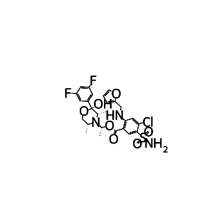 C[C@@H]1CO[C@@](O)(c2cc(F)cc(F)c2)[C@H](C)N1[C@@H](C)OC(=O)c1cc(S(N)(=O)=O)c(Cl)cc1NCc1ccco1